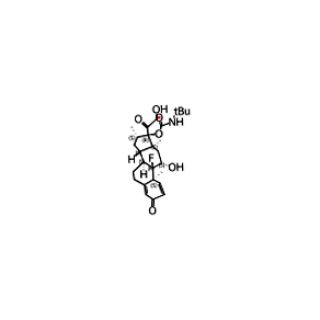 C[C@H]1C[C@H]2[C@@H]3CCC4=CC(=O)C=C[C@]4(C)[C@@]3(F)[C@@H](O)C[C@]2(C)[C@@]1(OC(=O)NC(C)(C)C)C(=O)CO